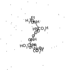 BC(CC)CC(=O)NCCCCC(NC(=O)COCCOCCNC(=O)CCC(NC(=O)CCC(NC(=O)CCCC)C(=O)O)C(=O)O)C(=O)O